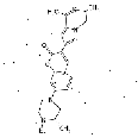 CCN1CCN(c2ccc3cc(-c4cc5c(C)nc(C)cn5c4)c(=O)oc3c2)C[C@@H]1C